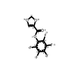 O=C(Oc1c(F)c(F)c(F)c(F)c1F)C1=COCO1